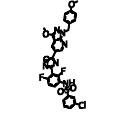 COc1ccc(Cn2nc(OC)c3cc(-c4nc(-c5c(F)ccc(NS(=O)(=O)c6cccc(Cl)c6)c5F)no4)cnc32)cc1